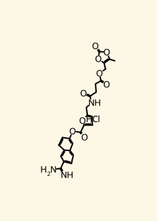 Cc1oc(=O)oc1COC(=O)CCC(=O)NCc1ccc(C(=O)Oc2ccc3cc(C(=N)N)ccc3c2)o1.Cl